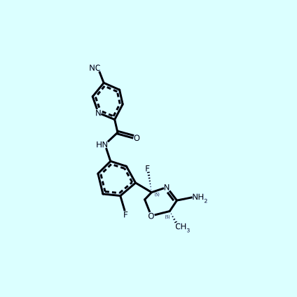 C[C@@H]1OC[C@@](F)(c2cc(NC(=O)c3ccc(C#N)cn3)ccc2F)N=C1N